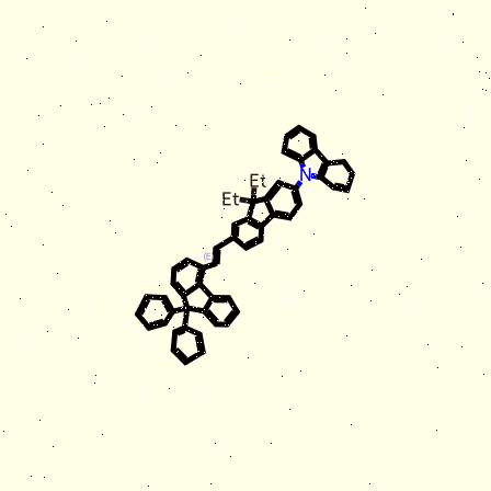 CCC1(CC)c2cc(/C=C/c3cccc4c3-c3ccccc3C4(c3ccccc3)c3ccccc3)ccc2-c2ccc(-n3c4c(c5ccccc53)CCC=C4)cc21